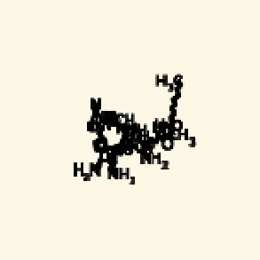 CCCCCCCCCC(=O)N[C@H](C)C(=O)NCCC(=O)N[C@@H](CCN)C(=O)N(C)[C@@H]1C(=O)N[C@@H](C)C(=O)N[C@H](C(=O)NCC#N)Cc2ccc(OCCN)c(c2)-c2cc1ccc2OCCN